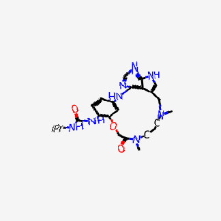 CC(C)NC(=O)Nc1ccc2cc1OCC(=O)N(C)CCCN(C)Cc1c[nH]c3ncnc(c13)N2